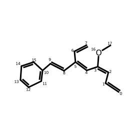 C=C\C=C(/C=C(C=C)/C=C/c1ccccc1)OC